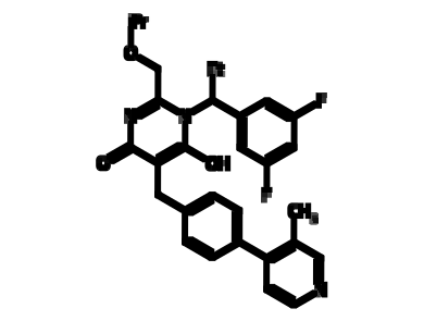 CCC(c1cc(F)cc(F)c1)n1c(COC(C)C)nc(=O)c(Cc2ccc(-c3ccncc3C)cc2)c1O